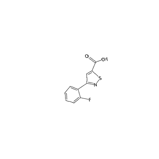 O=C(O)c1cc(-c2ccccc2F)ns1